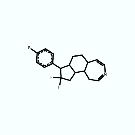 Fc1ccc(C2C3CCC4C=CN=CCC4C3CC2(F)F)cc1